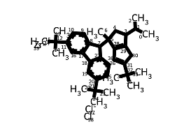 CC(C)C1CC(C)(C2c3ccc(C(C)(C)C)cc3-c3cc(C(C)(C)C)ccc32)C2=C1CC(C(C)(C)C)=C2.[Cl-].[Cl-].[Zr+2]